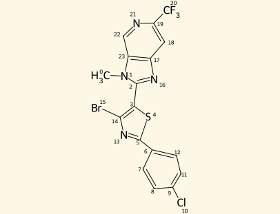 Cn1c(-c2sc(-c3ccc(Cl)cc3)nc2Br)nc2cc(C(F)(F)F)ncc21